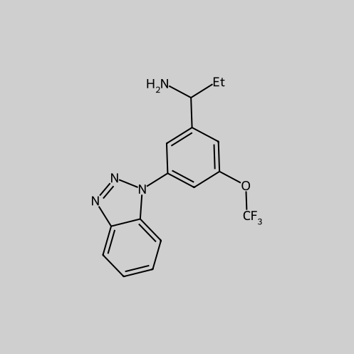 CCC(N)c1cc(OC(F)(F)F)cc(-n2nnc3ccccc32)c1